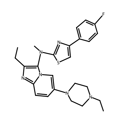 CCc1nc2ccc(N3CCN(CC)CC3)cn2c1N(C)c1nc(-c2ccc(F)cc2)cs1